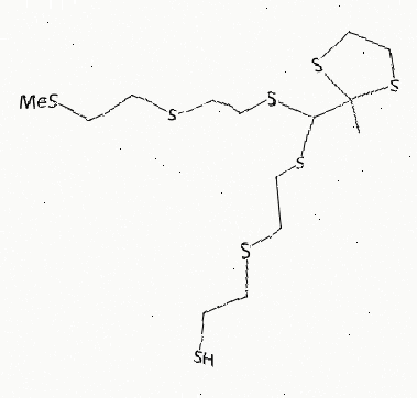 CSCCSCCSC(SCCSCCS)C1(C)SCCS1